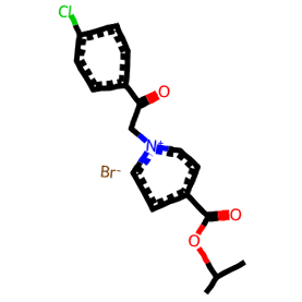 CC(C)OC(=O)c1cc[n+](CC(=O)c2ccc(Cl)cc2)cc1.[Br-]